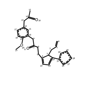 C=CCC1C(CCC(=O)Cc2cc(CC(C)=O)ccc2OC)=CC=C1c1ccccc1